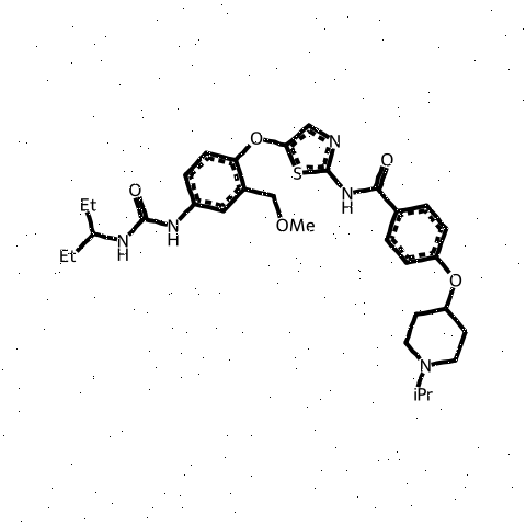 CCC(CC)NC(=O)Nc1ccc(Oc2cnc(NC(=O)c3ccc(OC4CCN(C(C)C)CC4)cc3)s2)c(COC)c1